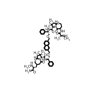 CN[C@@H](C)C(=O)N[C@H]1CCS[C@H]2CC(C)(C)[C@H](C(=O)N[C@H](COCc3ccc4ccc(COC[C@@H](NC(=O)[C@H]5N6C(=O)CC(C[C@H](NC)C(N)=O)CS[C@H]6CC5(C)C)c5ccccc5)cc4c3)c3ccccc3)N2C1=O